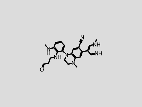 CN/C=C(\C=N)c1cc2c(cc1C#N)N(c1cccc(NC)c1NCCC=O)CCN2C